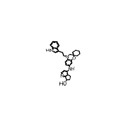 OC1CCc2c(Nc3ccc4c(c3)OC3(CCCCC3)CN4CCc3c[nH]c4ccccc34)ccnc21